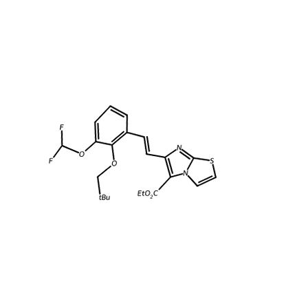 CCOC(=O)c1c(C=Cc2cccc(OC(F)F)c2OCC(C)(C)C)nc2sccn12